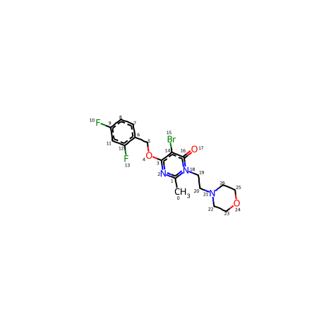 Cc1nc(OCc2ccc(F)cc2F)c(Br)c(=O)n1CCN1CCOCC1